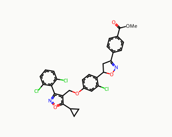 COC(=O)c1ccc(C2=NOC(c3ccc(OCc4c(-c5c(Cl)cccc5Cl)noc4C4CC4)cc3Cl)C2)cc1